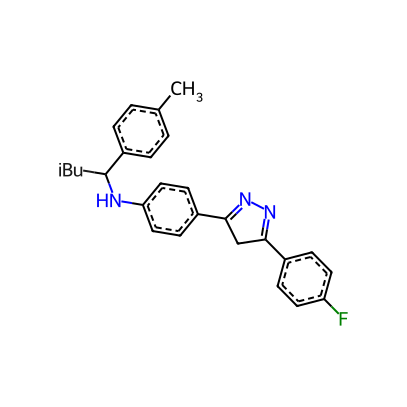 CCC(C)C(Nc1ccc(C2=NN=C(c3ccc(F)cc3)C2)cc1)c1ccc(C)cc1